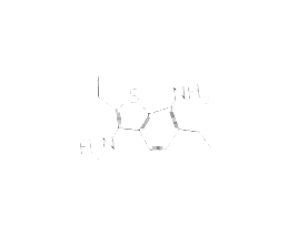 CCc1ccc2c(N)c(CC)sc2c1N